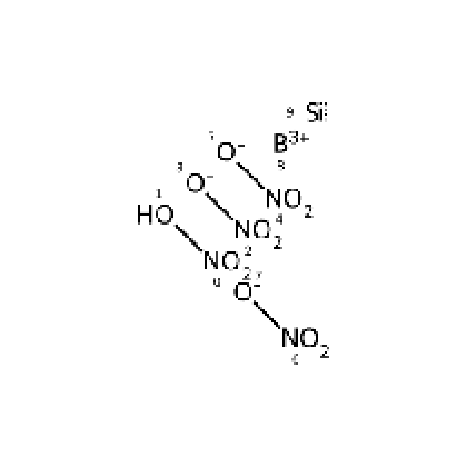 O=[N+]([O-])O.O=[N+]([O-])[O-].O=[N+]([O-])[O-].O=[N+]([O-])[O-].[B+3].[Si]